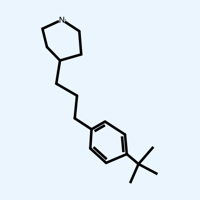 CC(C)(C)c1ccc(CCCC2CC[N]CC2)cc1